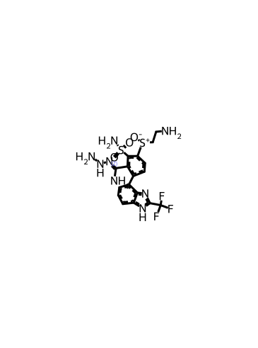 NCC[S+]([O-])c1ccc(-c2cccc3[nH]c(C(F)(F)F)nc23)c(/C(N)=N/NN)c1S(N)(=O)=O